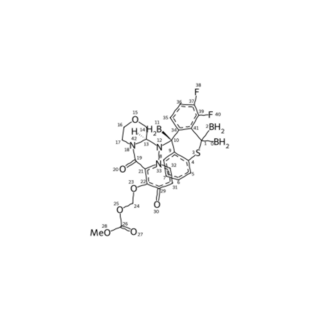 BC1(B)Sc2ccccc2[C@](B)(N2[C@@H]3COCCN3C(=O)c3c(OCOC(=O)OC)c(=O)ccn32)c2ccc(F)c(F)c21